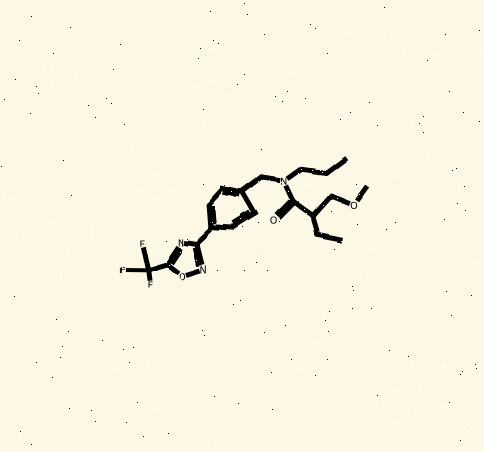 CCCN(Cc1ccc(-c2noc(C(F)(F)F)n2)cc1)C(=O)C(CC)COC